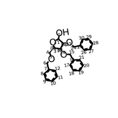 OC1O[C@H](COCc2ccccc2)[C@@H](OCc2ccccc2)[C@H]1OCc1ccccc1